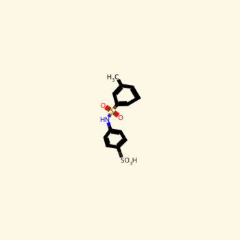 Cc1cccc(S(=O)(=O)Nc2ccc(S(=O)(=O)O)cc2)c1